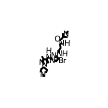 Cc1nn(C2CCN(C)CC2)cc1Nc1ncc(Br)c(NCCCNC(=O)C2CN(C)C2)n1